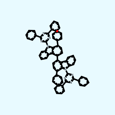 c1ccc(-c2nc(-c3ccccc3)nc(-n3c4ccccc4c4c(-c5ccc(-c6ccccc6)c6c5c5ccccc5n6-c5nc(-c6ccccc6)nc(-c6ccccc6)n5)ccc(-c5ccccc5)c43)n2)cc1